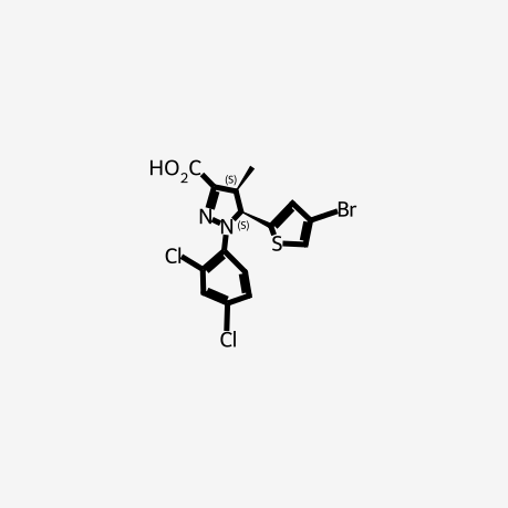 C[C@@H]1C(C(=O)O)=NN(c2ccc(Cl)cc2Cl)[C@@H]1c1cc(Br)cs1